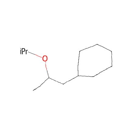 CC(C)OC(C)CC1CCCCC1